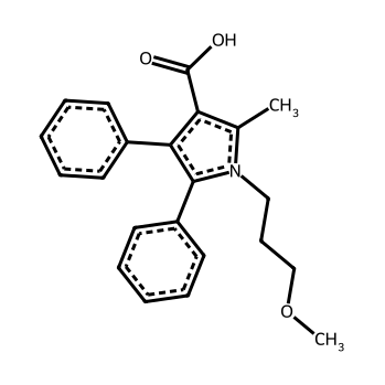 COCCCn1c(C)c(C(=O)O)c(-c2ccccc2)c1-c1ccccc1